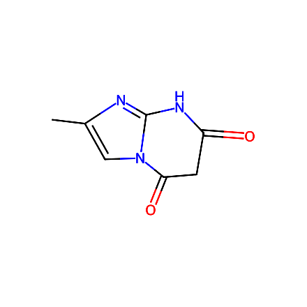 Cc1cn2c(n1)NC(=O)CC2=O